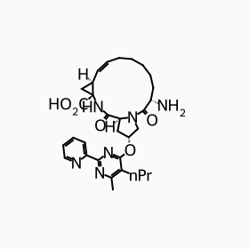 CCCc1c(C)nc(-c2ccccn2)nc1O[C@@H]1C[C@H]2C(=O)N[C@]3(C(=O)O)C[C@H]3/C=C\CCCCC[C@H](N)C(=O)N2C1